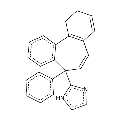 C1=CC2=C(CC1)c1ccccc1C(c1ccccc1)(c1ncc[nH]1)C=C2